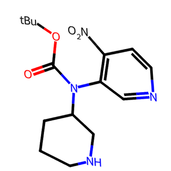 CC(C)(C)OC(=O)N(c1cnccc1[N+](=O)[O-])C1CCCNC1